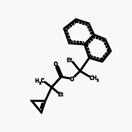 CCC(C)(C(=O)OC(C)(CC)c1cccc2ccccc12)C1=CC1